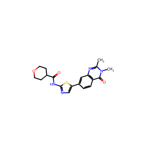 Cc1nc2cc(-c3cnc(NC(=O)C4CCOCC4)s3)ccc2c(=O)n1C